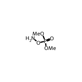 COP(=O)(OC)ON